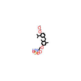 COCOc1ccc(Cc2c(C)cc(OCC(=O)NS(C)(=O)=O)cc2C)cc1C(C)C